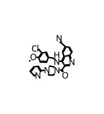 COc1ccc(CNc2c(C(=O)N3CCN(c4ccccn4)CC3)cnc3ccc(C#N)cc23)cc1Cl